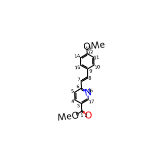 COC(=O)c1ccc(/C=C/c2ccc(OC)cc2)nc1